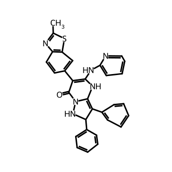 Cc1nc2ccc(C3=C(Nc4ccccn4)NC4=C(c5ccccc5)C(c5ccccc5)NN4C3=O)cc2s1